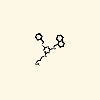 NCCCNc1nc(NCc2ccccc2)nc(NCc2cccc3ccccc23)n1